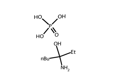 CCCCC(N)(O)CC.O=P(O)(O)O